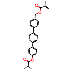 C=C(C)C(=O)OCc1ccc(-c2ccc(-c3ccc(OC(=O)C(C)C)cc3)cc2)cc1